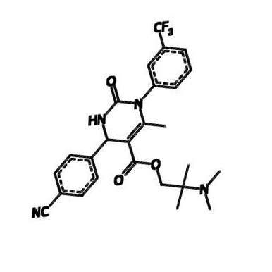 CC1=C(C(=O)OCC(C)(C)N(C)C)C(c2ccc(C#N)cc2)NC(=O)N1c1cccc(C(F)(F)F)c1